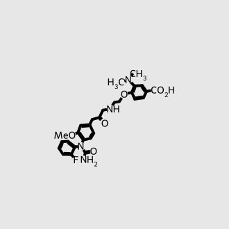 COc1cc(CC(=O)CNCCOc2ccc(C(=O)O)cc2N(C)C)ccc1N(C(N)=O)c1ccccc1F